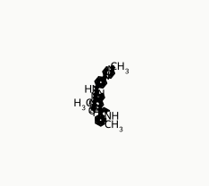 [2H]C1(N2Cc3cnc(Nc4ccc(N5CCN(C)CC5)cc4)nc3N(C)C2=O)CCNc2c(C)cccc21